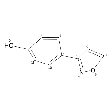 Oc1ccc(-c2ccon2)cc1